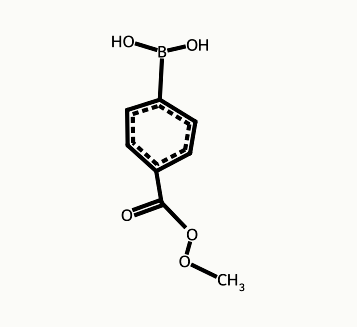 COOC(=O)c1ccc(B(O)O)cc1